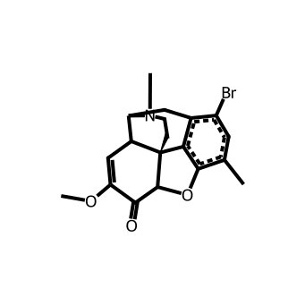 COC1=CC2C3Cc4c(Br)cc(C)c5c4[C@]2(CCN3C)C(O5)C1=O